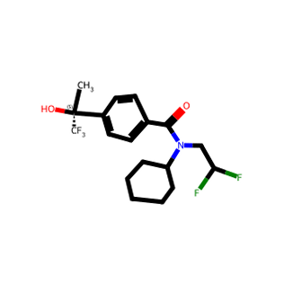 C[C@](O)(c1ccc(C(=O)N(CC(F)F)C2CCCCC2)cc1)C(F)(F)F